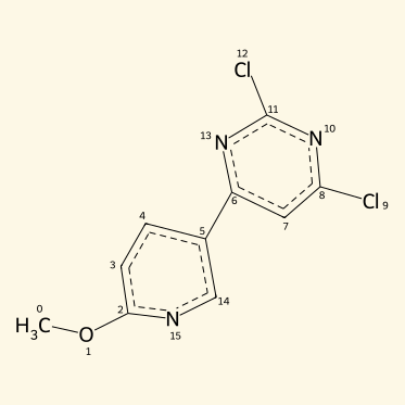 COc1ccc(-c2cc(Cl)nc(Cl)n2)cn1